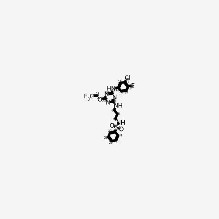 O=S(=O)(NCCCNc1nc(Nc2ccc(F)c(Cl)c2)nc(OCC(F)(F)F)n1)c1ccccc1